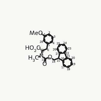 COc1cccc(C[C@@H](C(=O)O)N(C)C(=O)OCC2c3ccccc3-c3ccccc32)c1